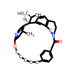 Cc1cc2ncc1[C@@H]([C@H](C)C(=O)O)c1ccc3c(c1)CN(CC3)C(=O)c1ccc(cc1)CCCCCO2